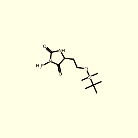 CC(C)(C)[Si](C)(C)OCC[C@@H]1NC(=O)N(P)C1=O